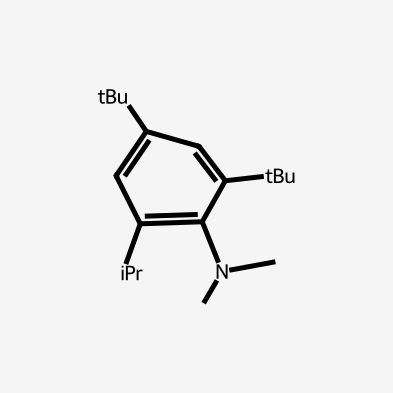 CC(C)c1cc(C(C)(C)C)cc(C(C)(C)C)c1N(C)C